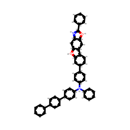 c1ccc(-c2ccc(-c3ccc(N(c4ccccc4)c4ccc(-c5ccc6c(c5)oc5cc7nc(-c8ccccc8)oc7cc56)cc4)cc3)cc2)cc1